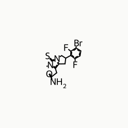 Cn1c(CC(N)=O)c2n(c1=S)CC(c1c(F)ccc(Br)c1F)C2